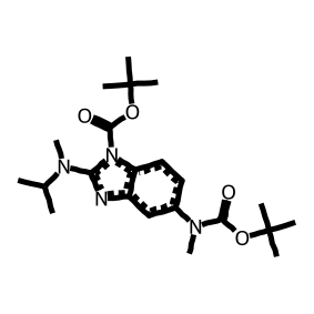 CC(C)N(C)c1nc2cc(N(C)C(=O)OC(C)(C)C)ccc2n1C(=O)OC(C)(C)C